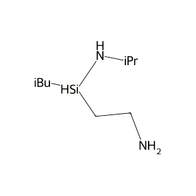 CCC(C)[SiH](CCN)NC(C)C